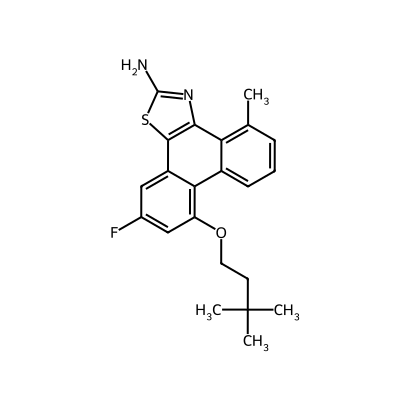 Cc1cccc2c3c(OCCC(C)(C)C)cc(F)cc3c3sc(N)nc3c12